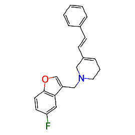 Fc1ccc2occ(CN3CCC=C(C=Cc4ccccc4)C3)c2c1